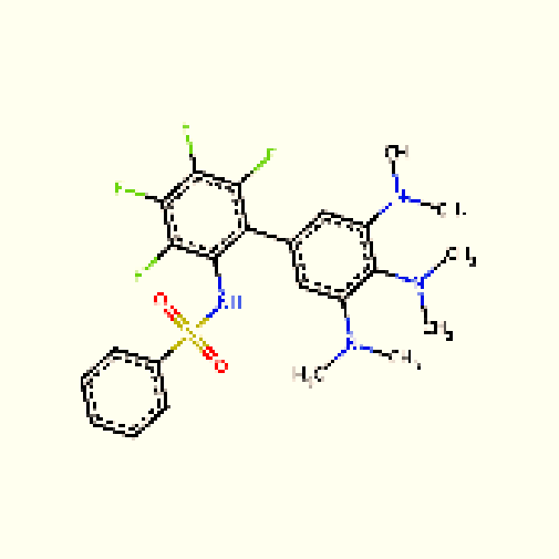 CN(C)c1cc(-c2c(F)c(F)c(F)c(F)c2NS(=O)(=O)c2ccccc2)cc(N(C)C)c1N(C)C